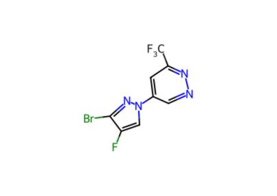 Fc1cn(-c2cnnc(C(F)(F)F)c2)nc1Br